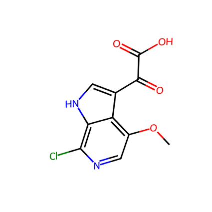 COc1cnc(Cl)c2[nH]cc(C(=O)C(=O)O)c12